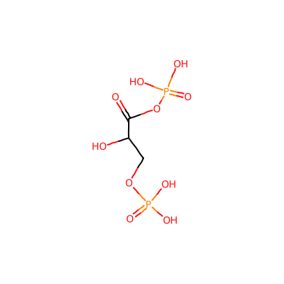 O=C(OP(=O)(O)O)C(O)COP(=O)(O)O